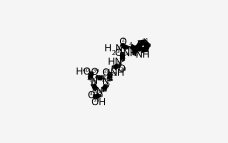 NC(=O)[C@H](Cc1c[nH]c2ccccc12)NC(=O)CNC(=O)CNC(=O)CN1CCN(CC(=O)O)CCN(CC(=O)O)CC1